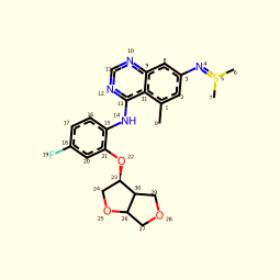 Cc1cc(N=S(C)C)cc2ncnc(Nc3ccc(F)cc3O[C@@H]3COC4COCC43)c12